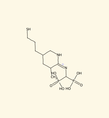 CC1CC(CCCS)CN/C1=N/C(P(=O)(O)O)P(=O)(O)O